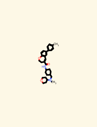 Cc1ccc(-c2ccc3c(c2)C=C(C(=O)NC2CCC(CN(C)C4CCOCC4)CC2)CCO3)cc1